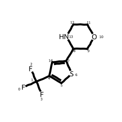 FC(F)(F)c1csc(C2COCCN2)c1